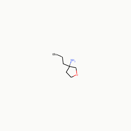 CC(C)(C)CCC1(N)CCOC1